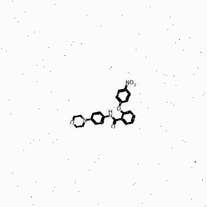 O=C(Nc1ccc(N2CCOCC2)cc1)c1ccccc1Oc1ccc([N+](=O)[O-])cc1